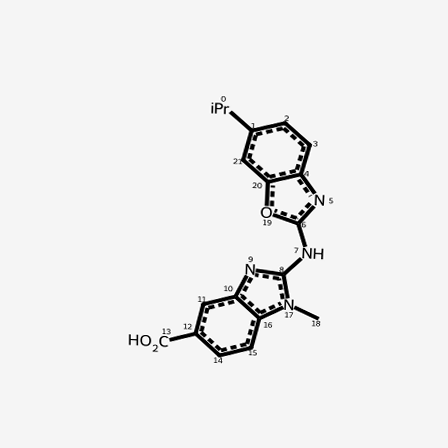 CC(C)c1ccc2nc(Nc3nc4cc(C(=O)O)ccc4n3C)oc2c1